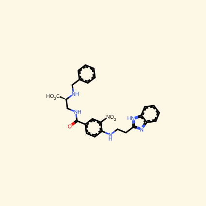 O=C(NC[C@H](NCc1ccccc1)C(=O)O)c1ccc(NCCc2nc3ccccc3[nH]2)c([N+](=O)[O-])c1